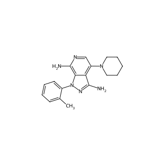 Cc1ccccc1-n1nc(N)c2c(N3CCCCC3)cnc(N)c21